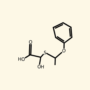 CC(Oc1ccccc1)SC(O)C(=O)O